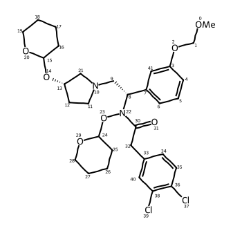 COCOc1cccc([C@@H](CN2CC[C@H](OC3CCCCO3)C2)N(OC2CCCCO2)C(=O)Cc2ccc(Cl)c(Cl)c2)c1